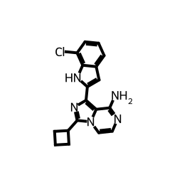 Nc1nccn2c(C3CCC3)nc(-c3cc4cccc(Cl)c4[nH]3)c12